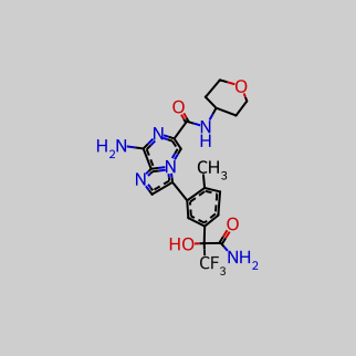 Cc1ccc(C(O)(C(N)=O)C(F)(F)F)cc1-c1cnc2c(N)nc(C(=O)NC3CCOCC3)cn12